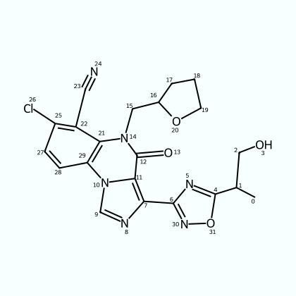 CC(CO)c1nc(-c2ncn3c2c(=O)n(CC2CCCO2)c2c(C#N)c(Cl)ccc23)no1